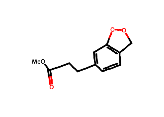 COC(=O)CCc1ccc2c(c1)OOC2